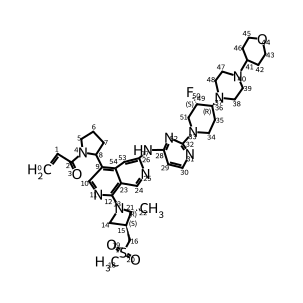 C=CC(=O)N1CCCC1c1cnc(N2C[C@H](CS(C)(=O)=O)[C@H]2C)c2cnc(Nc3ccnc(N4CC[C@@H](N5CCN(C6CCOCC6)CC5)[C@@H](F)C4)n3)cc12